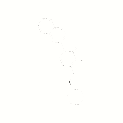 O=c1c(Cl)c(NC[C@@H]2CCCOC2)cnn1-c1ccc2ccncc2c1